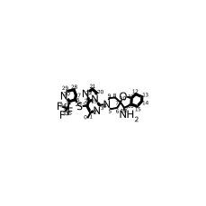 Cc1nc(N2CCC3(CC2)Oc2ccccc2[C@H]3N)n2ccnc2c1Sc1cccnc1C(F)(F)F